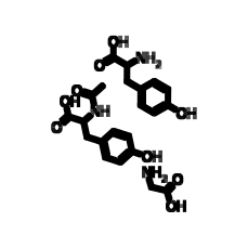 CC(=O)NC(Cc1ccc(O)cc1)C(=O)O.NC(Cc1ccc(O)cc1)C(=O)O.NCC(=O)O